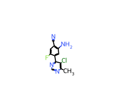 Cc1ncnc(-c2cc(N)c(C#N)cc2F)c1Cl